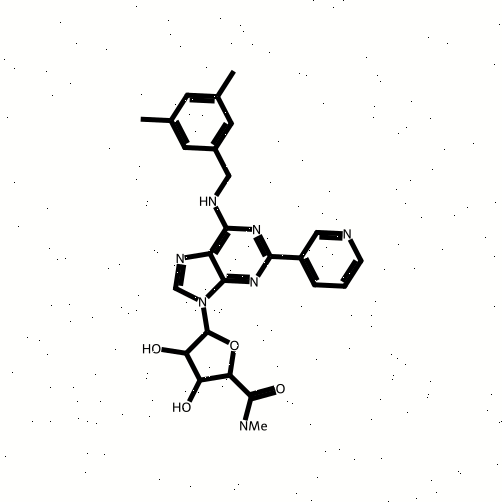 CNC(=O)C1OC(n2cnc3c(NCc4cc(C)cc(C)c4)nc(-c4cccnc4)nc32)C(O)C1O